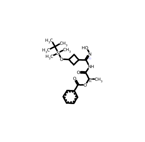 C[C@@H](OC(=O)c1ccccc1)C(=O)N/C(=N/O)C1CC(O[Si](C)(C)C(C)(C)C)C1